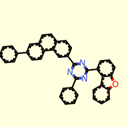 c1ccc(-c2ccc3c(ccc4ccc(-c5nc(-c6ccccc6)nc(-c6cccc7oc8ccccc8c67)n5)cc43)c2)cc1